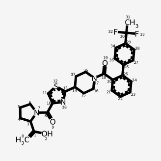 C=C(O)C1CCCN1C(=O)c1csc(C2CCN(C(=O)c3ccccc3-c3ccc(C(C)(F)F)cc3)CC2)n1